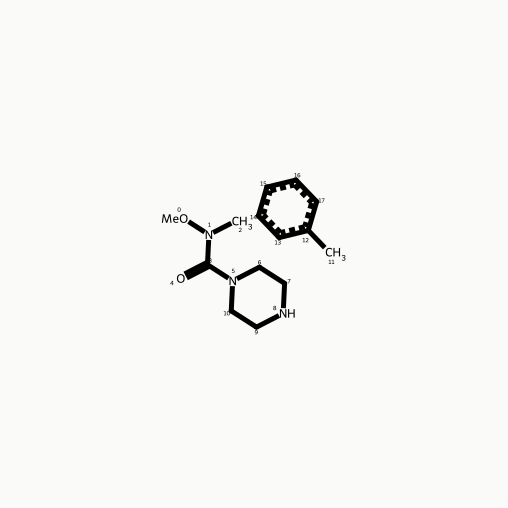 CON(C)C(=O)N1CCNCC1.Cc1ccccc1